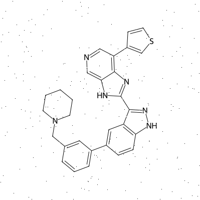 c1cc(CN2CCCCC2)cc(-c2ccc3[nH]nc(-c4nc5c(-c6ccsc6)cncc5[nH]4)c3c2)c1